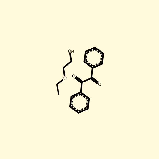 CCOCCO.O=C(C(=O)c1ccccc1)c1ccccc1